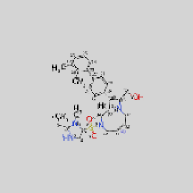 CCC1NCC(S(=O)(=O)N2C/C=C\CN3C(CO)[C@@H](c4ccc(-c5cccc(C)c5C)cc4)[C@@H]3C2)N1C